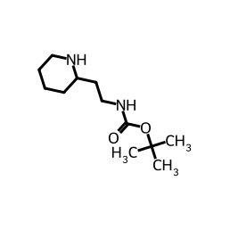 CC(C)(C)OC(=O)NCCC1CCCCN1